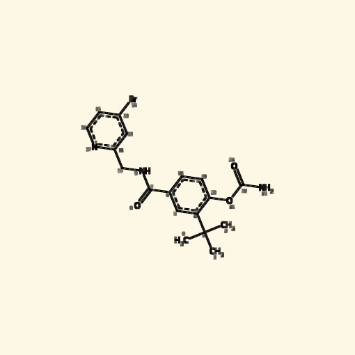 CC(C)(C)c1cc(C(=O)NCc2cc(Br)ccn2)ccc1OC(N)=O